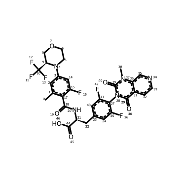 Cc1cc(N2CCOC[C@@H]2C(F)(F)F)cc(F)c1C(=O)N[C@@H](Cc1cc(F)c(-n2c(=O)c3ccncc3n(C)c2=O)c(F)c1)C(=O)O